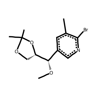 CO[C@@H](c1cnc(Br)c(C)c1)[C@@H]1COC(C)(C)O1